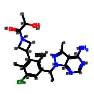 COc1c(C(C)n2nc(C)c3c(N)ncnc32)cc(Cl)c(C)c1C1CN(C(=O)C(C)O)C1